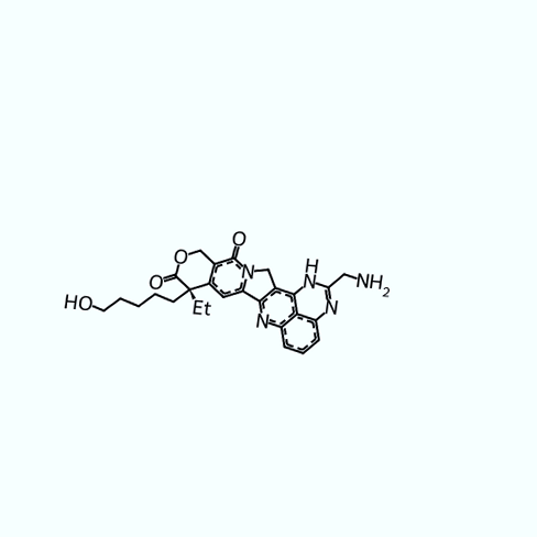 CC[C@@]1(CCCCCO)C(=O)OCc2c1cc1n(c2=O)Cc2c-1nc1cccc3c1c2NC(CN)=N3